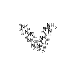 CN1CCN(c2cnc(-c3cn(C4(c5ccc(-c6cnc(N)nc6)nc5)CCC4)cn3)cn2)CC1